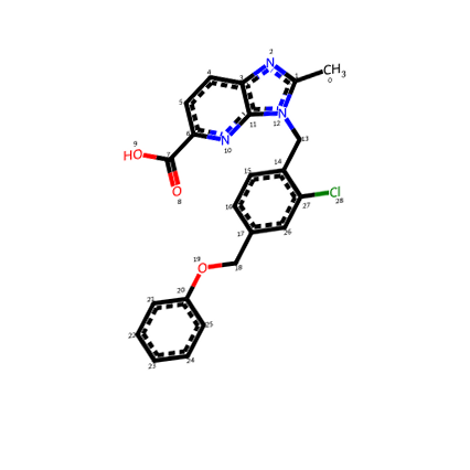 Cc1nc2ccc(C(=O)O)nc2n1Cc1ccc(COc2ccccc2)cc1Cl